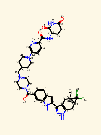 C[C@@]12Cc3[nH]nc(-c4cc5ccc(C(=O)N6CCN(CC7CCN(c8ccc(C(=O)N[C@H]9CCC(=O)NC9=O)nc8)CC7)CC6)cc5[nH]4)c3C[C@@H]1C2(F)F